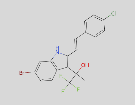 CC(O)(c1c(C=Cc2ccc(Cl)cc2)[nH]c2cc(Br)ccc12)C(F)(F)F